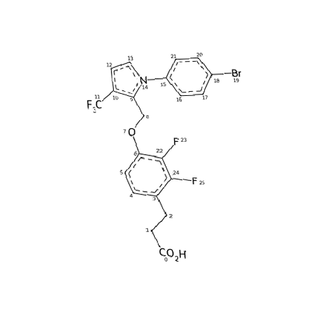 O=C(O)CCc1ccc(OCc2c(C(F)(F)F)ccn2-c2ccc(Br)cc2)c(F)c1F